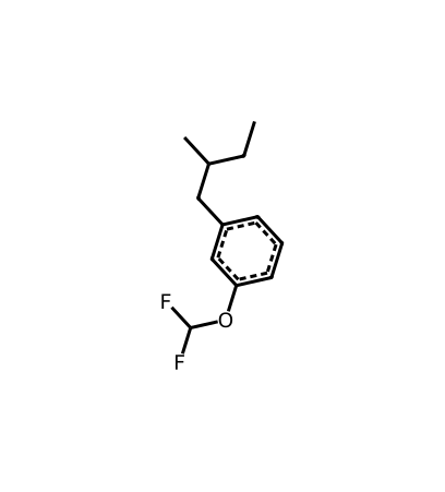 CCC(C)Cc1cccc(OC(F)F)c1